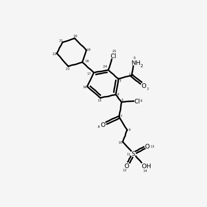 NC(=O)c1c(C(Cl)C(=O)CCS(=O)(=O)O)ccc(C2CCCCC2)c1Cl